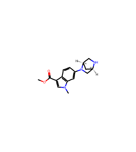 COC(=O)c1cn(C)c2cc(N3C[C@H]4C[C@@H]3CN4)ccc12